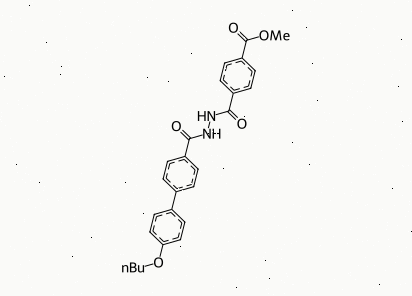 CCCCOc1ccc(-c2ccc(C(=O)NNC(=O)c3ccc(C(=O)OC)cc3)cc2)cc1